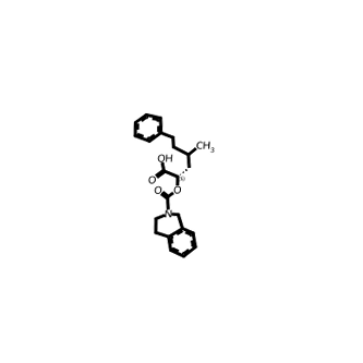 CC(CCc1ccccc1)C[C@H](OC(=O)N1CCc2ccccc2C1)C(=O)O